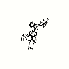 CC(C)C1C(=O)Nc2nc(-c3nn(CCC(F)(F)C(F)(F)F)c4ncccc34)nc(N)c21